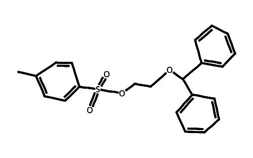 Cc1ccc(S(=O)(=O)OCCOC(c2ccccc2)c2ccccc2)cc1